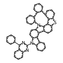 c1ccc(-c2nc(-n3c4ccccc4c4c5c6ccc7sc8cccc9c%10ccccc%10c%10ccccc%10n(c5ccc43)c6c7c89)nc3ccccc23)cc1